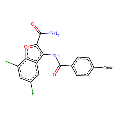 COc1ccc(C(=O)Nc2c(C(N)=O)oc3c(F)cc(F)cc23)cc1